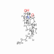 CCN(CC)CC12C[C@H]3[C@@H]4CC[C@H]([C@H](C)CCCC(C)C)[C@@]4(C)CC[C@@H]3[C@@]3(C)CCC(O)CC13O2